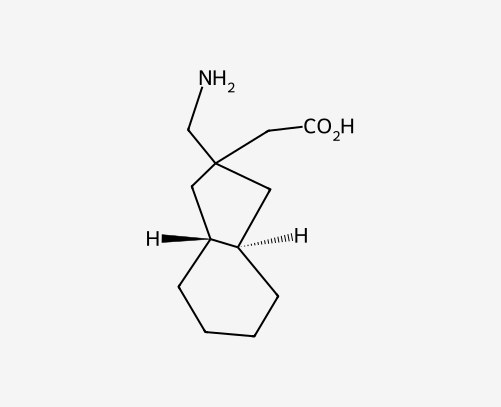 NCC1(CC(=O)O)C[C@H]2CCCC[C@@H]2C1